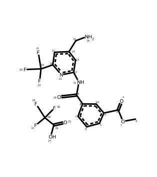 COC(=O)c1cccc(C(=O)Nc2cc(CN)cc(C(F)(F)F)n2)c1.O=C(O)C(F)(F)F